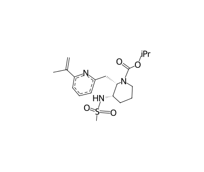 C=C(C)c1cccc(C[C@H]2[C@@H](NS(C)(=O)=O)CCCN2C(=O)OC(C)C)n1